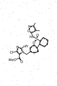 CCCc1nc(Cl)c(C(=O)OC)n1Cc1ccc(-c2ccccc2S(=O)(=O)Nc2onc(C)c2C)cc1